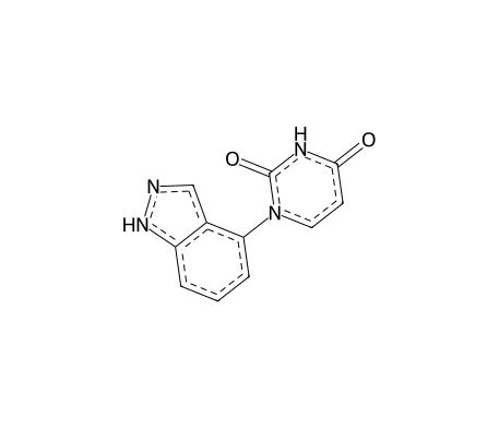 O=c1ccn(-c2cccc3[nH]ncc23)c(=O)[nH]1